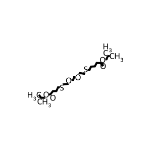 CC(C)COC(=O)CCCCSCCOCCOCCSCCCC(=O)OCC(C)C